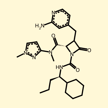 CCC[C@@H](NC(=O)N1C(=O)C(Cc2ccnc(N)c2)[C@H]1C(=O)N(C)c1ccn(C)n1)C1CCCCC1